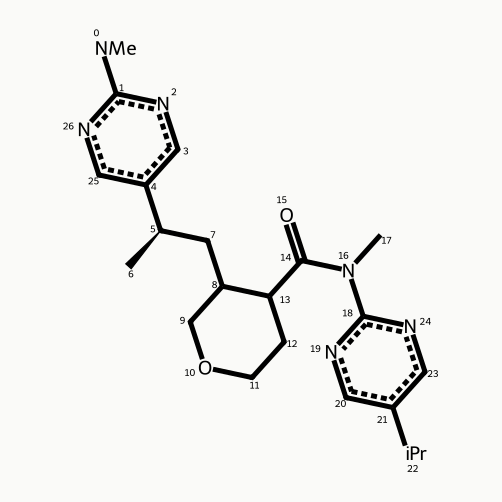 CNc1ncc([C@H](C)CC2COCCC2C(=O)N(C)c2ncc(C(C)C)cn2)cn1